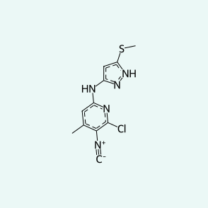 [C-]#[N+]c1c(C)cc(Nc2cc(SC)[nH]n2)nc1Cl